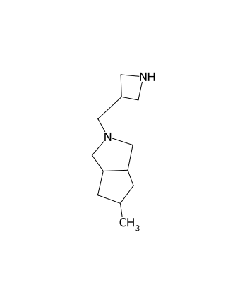 CC1CC2CN(CC3CNC3)CC2C1